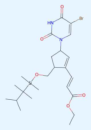 CCOC(=O)C=CC1=CC(n2cc(Br)c(=O)[nH]c2=O)CC1CO[Si](C)(C)C(C)(C)C(C)C